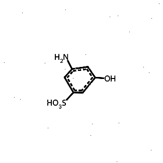 Nc1cc(O)cc(S(=O)(=O)O)c1